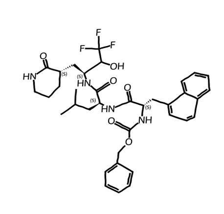 CC(C)C[C@H](NC(=O)[C@H](Cc1cccc2ccccc12)NC(=O)OCc1ccccc1)C(=O)N[C@@H](C[C@@H]1CCCNC1=O)C(O)C(F)(F)F